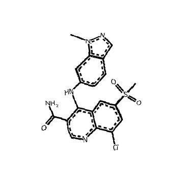 Cn1ncc2ccc(Nc3c(C(N)=O)cnc4c(Cl)cc(S(C)(=O)=O)cc34)cc21